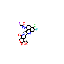 CC[C@@]1(O)C(=O)OCc2c1cc1n(c2=O)Cc2c-1nc1cc(F)c(Cl)c3c1c2[C@@H](NC(=O)CI)CC3